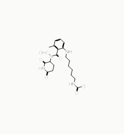 Cc1cccc(NCCCCCCNC(=O)Cl)c1C(=O)N(C=O)C1CCC(=O)NC1=O